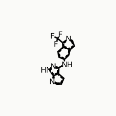 FC(F)(F)c1nccc2cc(Nc3n[nH]c4ncccc34)ccc12